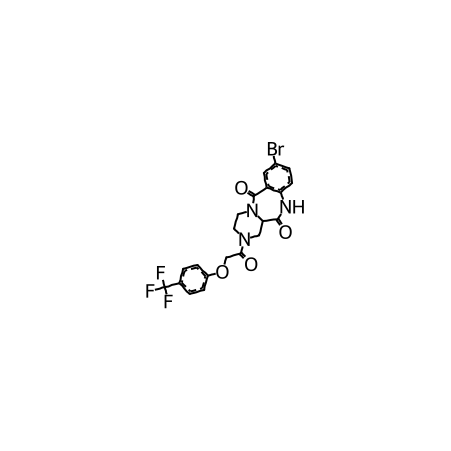 O=C1Nc2ccc(Br)cc2C(=O)N2CCN(C(=O)COc3ccc(C(F)(F)F)cc3)CC12